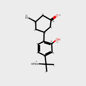 CCCCCCC(C)(C)c1ccc(C2CC(=O)CC(CC)C2)c(O)c1